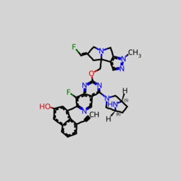 C#Cc1cccc2cc(O)cc(-c3ncc4c(N5C[C@H]6CC[C@@H](C5)N6)nc(OCC56CC(=CF)CN5Cc5c6cnn5C)nc4c3F)c12